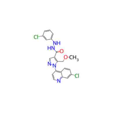 COCc1c(C(=O)NNc2cccc(Cl)c2)cnn1-c1ccnc2cc(Cl)ccc12